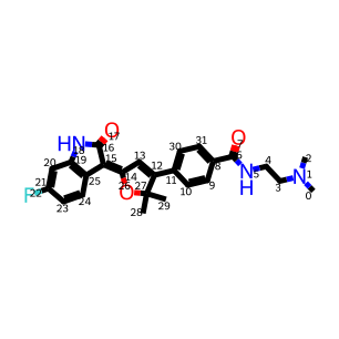 CN(C)CCNC(=O)c1ccc(C2=C/C(=C3\C(=O)Nc4cc(F)ccc43)OC2(C)C)cc1